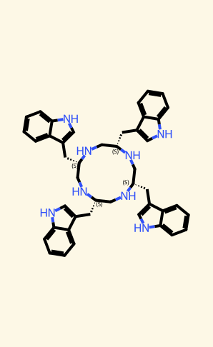 c1ccc2c(C[C@H]3CN[C@@H](Cc4c[nH]c5ccccc45)CN[C@@H](Cc4c[nH]c5ccccc45)CN[C@@H](Cc4c[nH]c5ccccc45)CN3)c[nH]c2c1